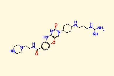 N=C(N)NCCCN[C@H]1CC[C@H](n2cc3c(nc2=O)Nc2cc(C(=O)NCCN4CCNCC4)ccc2O3)CC1